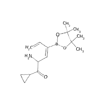 C=C/C(=C\C(N)C(=O)C1CC1)B1OC(C)(C)C(C)(C)O1